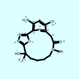 CC(C)N1CCCCC(O)(C(F)(F)F)c2nnc(o2)-c2nc(c(C(F)(F)F)cc2N)CC1=O